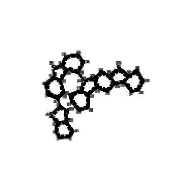 c1ccc2sc(-c3ccc4sc5cccc(-n6c7ccccc7c7cc8c(cc76)sc6ccccc68)c5c4c3)nc2c1